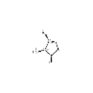 CC1CC[C@H](O)[C@@H]1O